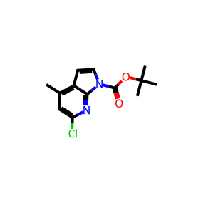 Cc1cc(Cl)nc2c1ccn2C(=O)OC(C)(C)C